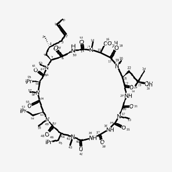 C/C=C/C[C@@H](C)C[C@H]1C(=O)NC(=O)N(C)C(C(=O)O)C(=O)N(C)[C@@H](CC(C)(C)O)C(=O)NC(=O)N(C)C(=O)NC(=O)NC(=O)N(C)C(CC(C)C)C(=O)N(C)[C@@H](CC(C)C)C(=O)N(C)[C@@H](C(C)C)C(=O)N1C